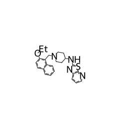 CCOc1ccc2ccccc2c1CN1CCC(Nc2nc3cccnc3s2)CC1